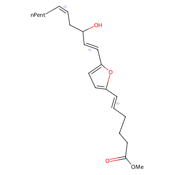 CCCCC/C=C\CC(O)/C=C/c1ccc(/C=C/CCCC(=O)OC)o1